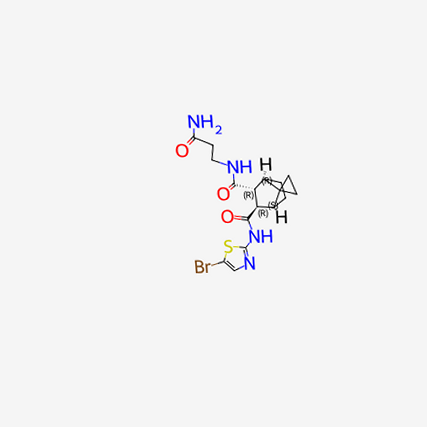 NC(=O)CCNC(=O)[C@H]1[C@H](C(=O)Nc2ncc(Br)s2)[C@@H]2CC[C@H]1C21CC1